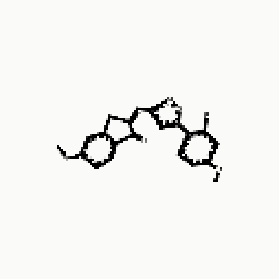 COc1ccc(-c2cc(C=C3Cc4cc(OC)ccc4C3=O)[nH]n2)c(F)c1